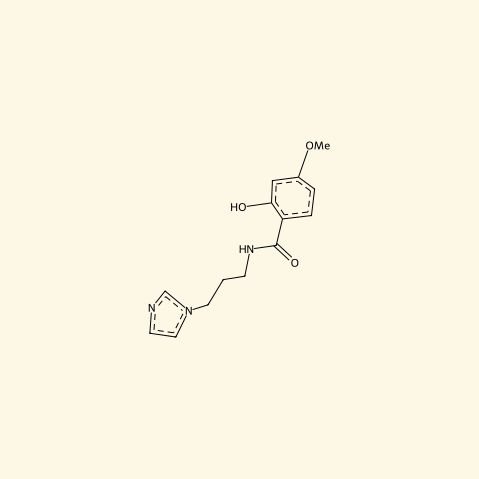 COc1ccc(C(=O)NCCCn2ccnc2)c(O)c1